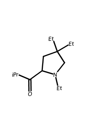 CCN1CC(CC)(CC)CC1C(=O)C(C)C